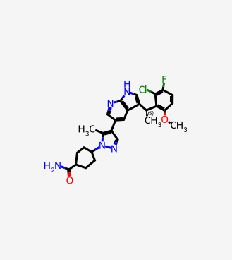 COc1ccc(F)c(Cl)c1[C@@H](C)c1c[nH]c2ncc(-c3cnn(C4CCC(C(N)=O)CC4)c3C)cc12